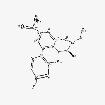 C[C@H]1Cc2c(-c3ccc(F)cc3F)cc(C(N)=O)nc2O[C@@H]1CO